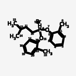 Cc1ccccc1O[PH](Br)(CCC(C)C)Oc1ccccc1C